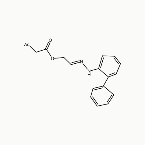 CC(=O)CC(=O)OCC=NNc1ccccc1-c1ccccc1